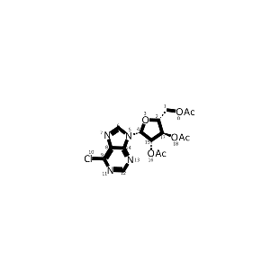 CC(=O)OC[C@H]1O[C@@H](n2cnc3c(Cl)ncnc32)[C@@H](OC(C)=O)[C@@H]1OC(C)=O